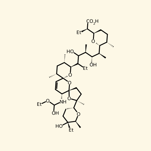 CCOC(O)N[C@@H]1C=C[C@]2(O[C@H](C(CC)C(O)[C@@H](C)[C@@H](O)[C@H](C)[C@@H]3O[C@@H]([C@@H](CC)C(=O)O)CC[C@@H]3C)[C@@H](C)C[C@H]2C)O[C@@]12CC[C@@](C)([C@H]1CC[C@](O)(CC)[C@H](C)O1)O2